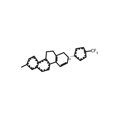 Cc1ccc2c3c(ccc2c1)C1=C(CC3)C[C@H](c2ccc(C(F)(F)F)cc2)C=C1